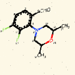 CC1CN(c2c(C=O)ccc(F)c2F)CC(C)O1